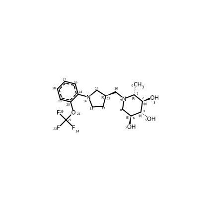 C[C@@H]1[C@@H](O)[C@H](O)[C@@H](O)CN1C[C@H]1CCN(c2ccccc2OC(F)(F)F)C1